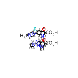 CCn1cc(C(=O)O)c(=O)c2cc(F)c(N3CCN(C)CC3)cc21.CCn1cc(C(=O)O)c(=O)c2cnc(N3CCCC3)nc21